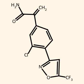 C=C(C(N)=O)c1ccc(-c2cc(C(F)(F)F)on2)c(Cl)c1